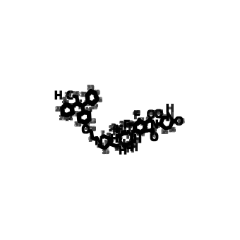 [2H]C1([2H])N(CC2CCN(CCOc3ccc(C(=C(CC)c4ccccc4)c4ccccc4)cc3)CC2)C([2H])([2H])C([2H])([2H])N(c2cc3c(c(F)c2F)C(=O)N(C2CCC(=O)NC2=O)C3=O)C1([2H])[2H]